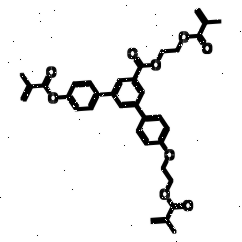 C=C(C)C(=O)OCCOC(=O)c1cc(-c2ccc(OCCOC(=O)C(=C)C)cc2)cc(-c2ccc(OC(=O)C(=C)C)cc2)c1